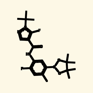 Cc1cc(F)c(NC(=O)c2cnn(C(C)(C)C)c2F)cc1B1OC(C)(C)C(C)(C)O1